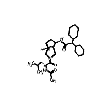 CC(C)C[C@@H](NC(=O)O)C(=O)N1CC2C(NC(=O)C(C3CCCCC3)C3CCCCC3)CC[C@H]2C1